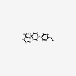 CCc1ccc(N2CCC(O)(C3CCCN3C)CC2)cn1